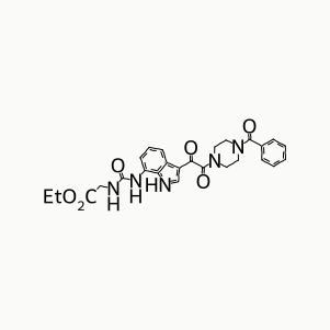 CCOC(=O)CNC(=O)Nc1cccc2c(C(=O)C(=O)N3CCN(C(=O)c4ccccc4)CC3)c[nH]c12